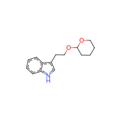 c1ccc2c(CCOC3CCCCO3)c[nH]c2c1